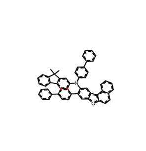 CC1(C)c2ccccc2-c2ccc(N(c3ccc(-c4ccccc4)cc3)c3cc4c(cc3-c3ccc(-c5ccccc5)cc3)oc3ccc5ccccc5c34)cc21